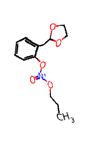 CCCO[N+](=O)Oc1ccccc1C1OCCO1